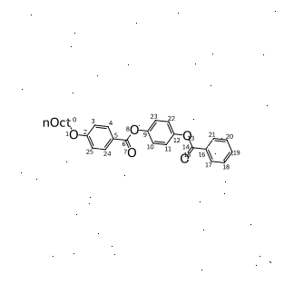 CCCCCCCCOc1ccc(C(=O)Oc2ccc(OC(=O)c3cc[c]cc3)cc2)cc1